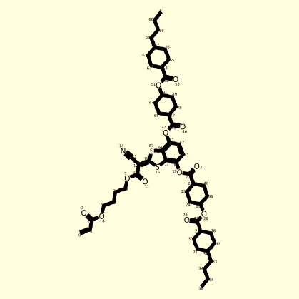 C=CC(=O)OCCCCOC(=O)C(C#N)=C1Sc2c(OC(=O)C3CCC(OC(=O)C4CCC(CCCC)CC4)CC3)ccc(OC(=O)C3CCC(OC(=O)C4CCC(CCCC)CC4)CC3)c2S1